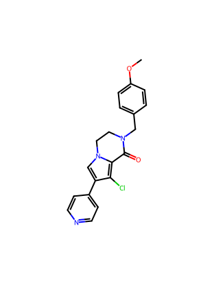 COc1ccc(CN2CCn3cc(-c4ccncc4)c(Cl)c3C2=O)cc1